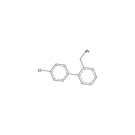 CC(C)Cc1ccccc1-c1ccc(Cl)cc1